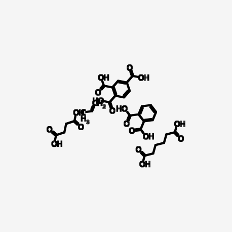 C=CC.O=C(O)CCC(=O)O.O=C(O)CCCCC(=O)O.O=C(O)c1ccc(C(=O)O)c(C(=O)O)c1.O=C(O)c1ccccc1C(=O)O